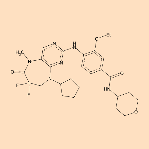 CCOc1cc(C(=O)NC2CCOCC2)ccc1Nc1ncc2c(n1)N(C1CCCC1)CC(F)(F)C(=O)N2C